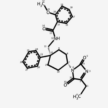 CCC1=NC(=O)N([C@H]2CC[C@](CNC(=O)c3ccccc3OC)(c3ccccc3)CC2)C1=O